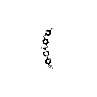 O=C(Oc1ccc(Oc2ccc(C(F)(F)F)cn2)cc1)N1CCN(c2ccc(C(F)(F)F)cn2)CC1